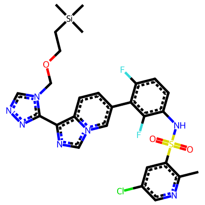 Cc1ncc(Cl)cc1S(=O)(=O)Nc1ccc(F)c(-c2ccc3c(-c4nncn4COCC[Si](C)(C)C)ncn3c2)c1F